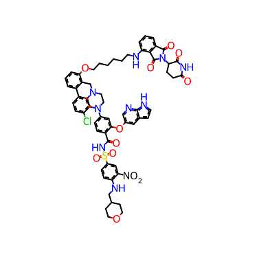 O=C1CCC(N2C(=O)c3cccc(NCCCCCCOc4cccc(-c5ccc(Cl)cc5)c4CN4CCN(c5ccc(C(=O)NS(=O)(=O)c6ccc(NCC7CCOCC7)c([N+](=O)[O-])c6)c(Oc6cnc7[nH]ccc7c6)c5)CC4)c3C2=O)C(=O)N1